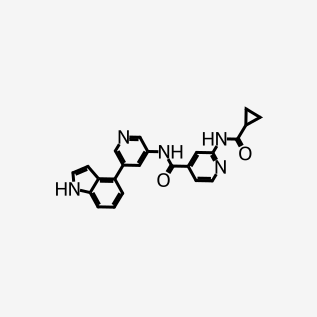 O=C(Nc1cncc(-c2cccc3[nH]ccc23)c1)c1ccnc(NC(=O)C2CC2)c1